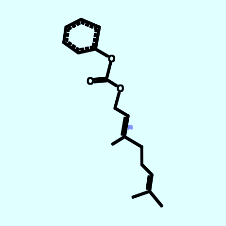 CC(C)=CCC/C(C)=C/COC(=O)Oc1ccccc1